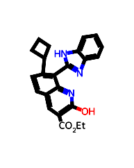 CCOC(=O)c1cc2ccc(C3CCC3)c(-c3nc4ccccc4[nH]3)c2nc1O